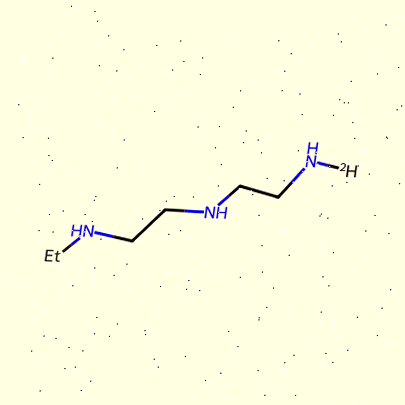 [2H]NCCNCCNCC